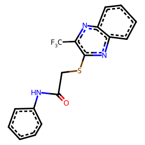 O=C(CSc1nc2ccccc2nc1C(F)(F)F)Nc1ccccc1